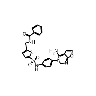 NC1=c2ccoc2=NCN1c1ccc(NS(=O)(=O)c2ccc(CNC(=O)c3ccccc3)s2)cc1